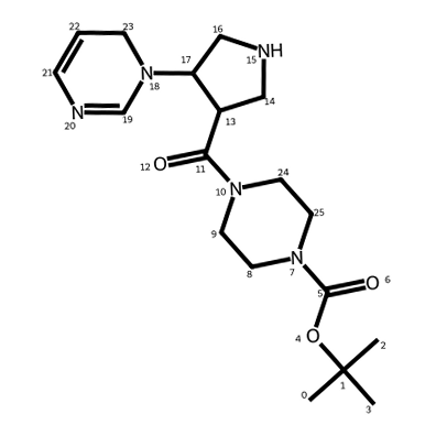 CC(C)(C)OC(=O)N1CCN(C(=O)C2CNCC2N2C=NC=CC2)CC1